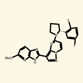 COc1ccc2nc(-c3cnn4ccc(N5CCC[C@@H]5c5cc(F)ccc5F)nc34)[nH]c2n1